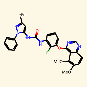 COc1ccc2ncnc(Oc3cccc(NC(=O)Nc4cc(C(C)(C)C)nn4-c4ccccc4)c3F)c2c1OC